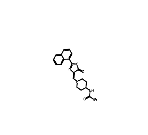 CC(C)C(=O)NC1CCN(/C=C2/N=C(c3cccc4ccccc34)OC2=O)CC1